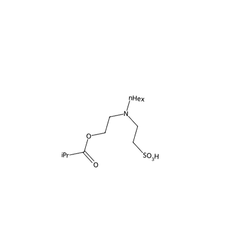 CCCCCCN(CCOC(=O)C(C)C)CCS(=O)(=O)O